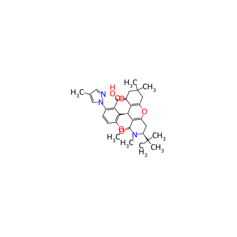 COc1ccc(-n2cc(C)cn2)c(C(=O)O)c1[C@H]1C2=C(CC(C)(C)CC2=O)OC2=C1C(=O)N(C)[C@H](C(C)(C)C)C2